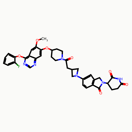 COc1cc2c(Oc3ccccc3F)ncnc2cc1OC1CCN(C(=O)CC2CN(c3ccc4c(c3)CN(C3CCC(=O)NC3=O)C4=O)C2)CC1